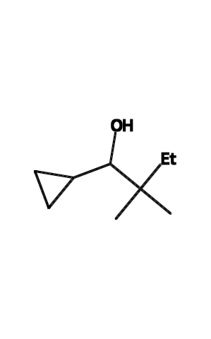 CCC(C)(C)C(O)C1CC1